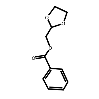 O=C(OCC1OCCO1)c1ccccc1